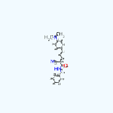 CN(C)c1ccc(/C=C/C=C(\C#N)C(=O)NCc2ccccc2)cc1